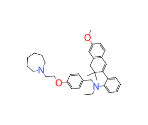 CCN(Cc1ccc(OCCN2CCCCCC2)cc1)c1ccccc1C1=Cc2ccc(OC)cc2CC1(C)C